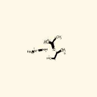 CC(=O)O.N=[N+]=N.OCCO